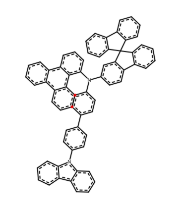 c1ccc2c(c1)-c1ccccc1C21c2ccccc2-c2ccc(N(c3ccc(-c4ccc(-n5c6ccccc6c6ccccc65)cc4)cc3)c3cccc4c5ccccc5c5ccccc5c34)cc21